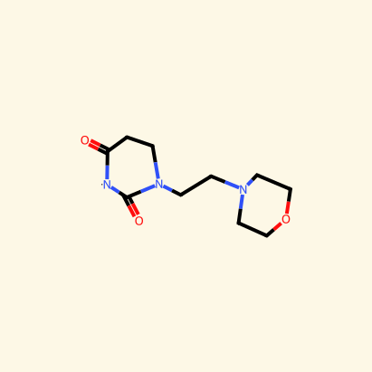 O=C1CCN(CCN2CCOCC2)C(=O)[N]1